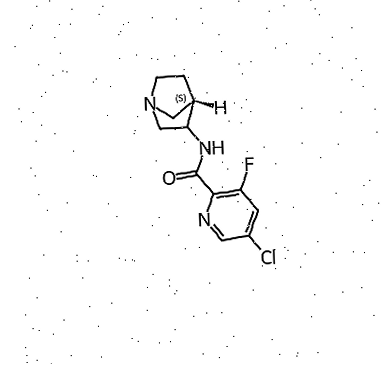 O=C(NC1CN2CC[C@H]1C2)c1ncc(Cl)cc1F